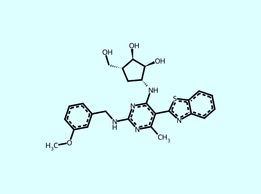 COc1cccc(CNc2nc(C)c(-c3nc4ccccc4s3)c(N[C@@H]3C[C@H](CO)[C@@H](O)[C@H]3O)n2)c1